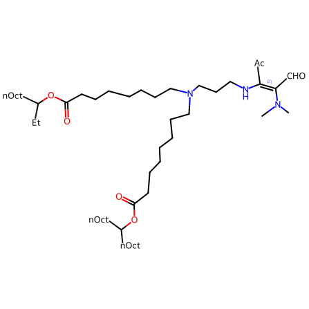 CCCCCCCCC(CC)OC(=O)CCCCCCCN(CCCCCCCC(=O)OC(CCCCCCCC)CCCCCCCC)CCCN/C(C(C)=O)=C(/C=O)N(C)C